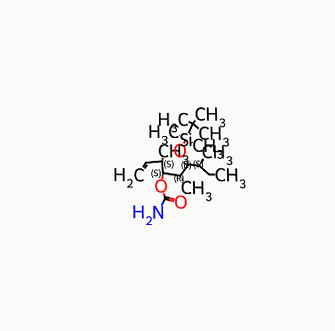 C=C[C@H](C)[C@H](OC(N)=O)[C@@H](C)[C@H](O[Si](C)(C)C(C)(C)C)[C@@H](C)CC